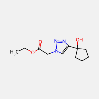 CCOC(=O)Cn1cc(C2(O)CCCC2)nn1